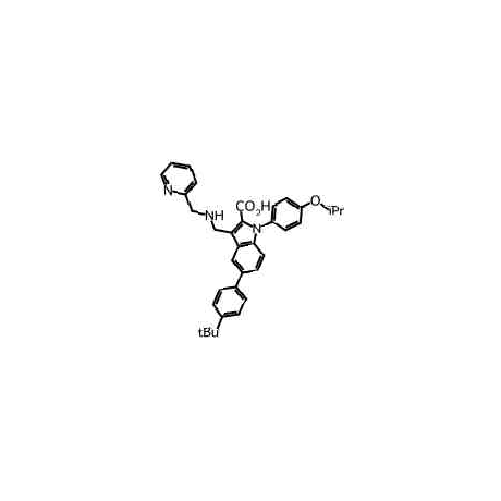 CC(C)Oc1ccc(-n2c(C(=O)O)c(CNCc3ccccn3)c3cc(-c4ccc(C(C)(C)C)cc4)ccc32)cc1